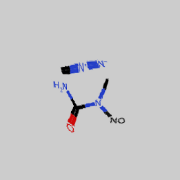 C=[N+]=[N-].CN(N=O)C(N)=O